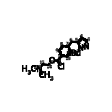 CCCCn1nccc1Cc1ccc(C(Cl)OCCN(C)C)cc1